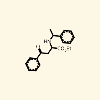 CCOC(=O)C(CC(=O)c1ccccc1)NC(C)c1ccccc1